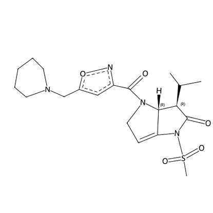 CC(C)[C@H]1C(=O)N(S(C)(=O)=O)C2=CCN(C(=O)c3cc(CN4CCCCC4)on3)[C@@H]21